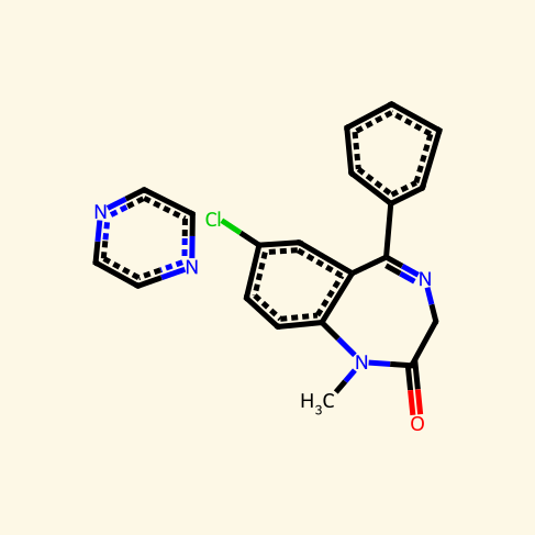 CN1C(=O)CN=C(c2ccccc2)c2cc(Cl)ccc21.c1cnccn1